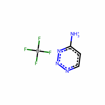 F[B-](F)(F)F.[NH3+]c1ccnnn1